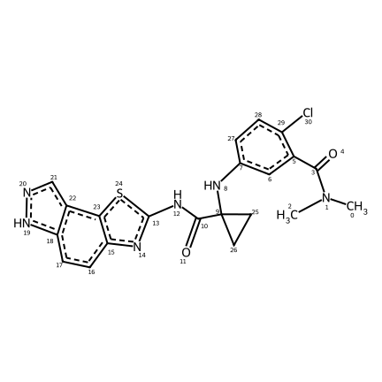 CN(C)C(=O)c1cc(NC2(C(=O)Nc3nc4ccc5[nH]ncc5c4s3)CC2)ccc1Cl